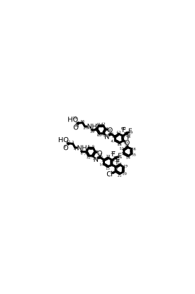 O=C(O)CCNCc1ccc2oc(-c3ccc(-c4ccccc4Cl)c(C(F)(F)F)c3)nc2c1.O=C(O)CCNCc1ccc2oc(-c3ccc(Oc4ccccc4)c(C(F)(F)F)c3)nc2c1